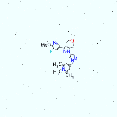 COc1ncc(-c2nn(-c3cnn(C[C@H]4C[C@@H](C)N(C)[C@@H](C)C4)c3)c3c2CCOCC3)cc1F